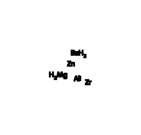 [Al].[BaH2].[MgH2].[Zn].[Zr]